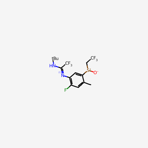 Cc1cc(F)c(/N=C(/NC(C)(C)C)C(F)(F)F)cc1[S+]([O-])CC(F)(F)F